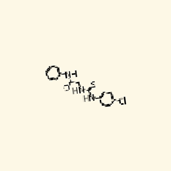 O=C(CNC(=S)Nc1ccc(Cl)cc1)Nc1ccccc1